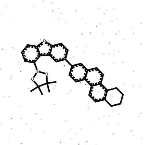 CC1(C)OB(c2cccc3oc4ccc(-c5ccc6c(ccc7c8c(ccc76)CCCC8)c5)cc4c23)OC1(C)C